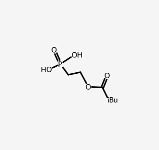 CCC(C)C(=O)OCCP(=O)(O)O